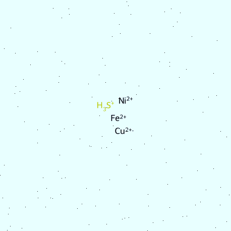 [Cu+2].[Fe+2].[Ni+2].[SH3+]